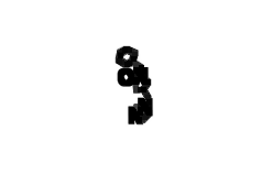 O=C1CC(Cn2ccnc2)CN1Cc1ccccc1